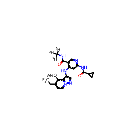 [2H]C([2H])([2H])NC(=O)c1cnc(NC(=O)C2CC2)cc1Nc1cnn2ccc(CC(F)(F)F)c(OC)c12